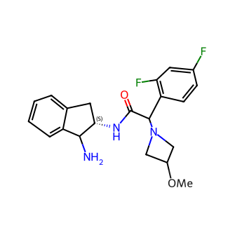 COC1CN(C(C(=O)N[C@H]2Cc3ccccc3C2N)c2ccc(F)cc2F)C1